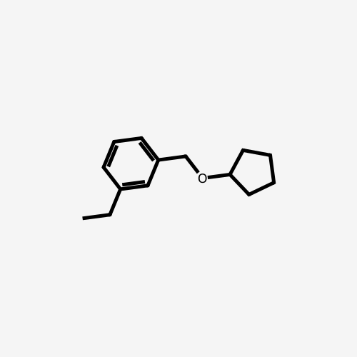 CCc1cccc(COC2CCCC2)c1